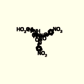 O=C(CN/C(=N\C(=O)OCc1ccc([N+](=O)[O-])cc1)NC(=O)OCc1ccc([N+](=O)[O-])cc1)NC1CN(C(=O)O)C1